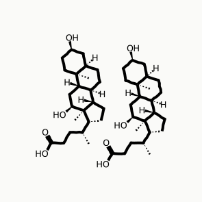 C[C@H](CCC(=O)O)[C@H]1CC[C@H]2[C@@H]3CC[C@@H]4C[C@H](O)CC[C@]4(C)[C@H]3C[C@H](O)[C@]12C.C[C@H](CCC(=O)O)[C@H]1CC[C@H]2[C@@H]3CC[C@@H]4C[C@H](O)CC[C@]4(C)[C@H]3C[C@H](O)[C@]12C